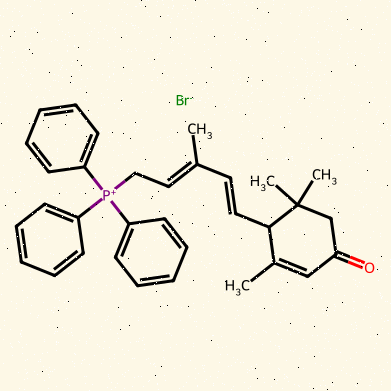 CC(C=CC1C(C)=CC(=O)CC1(C)C)=CC[P+](c1ccccc1)(c1ccccc1)c1ccccc1.[Br-]